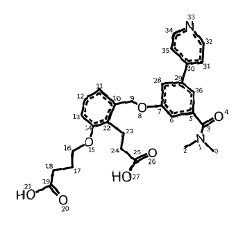 CN(C)C(=O)c1cc(OCc2cccc(OCCCC(=O)O)c2CCC(=O)O)cc(-c2ccncc2)c1